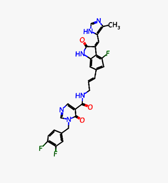 Cc1nc[nH]c1C=C1C(=O)Nc2cc(C=CCNC(=O)c3cncn(Cc4ccc(F)c(F)c4)c3=O)cc(F)c21